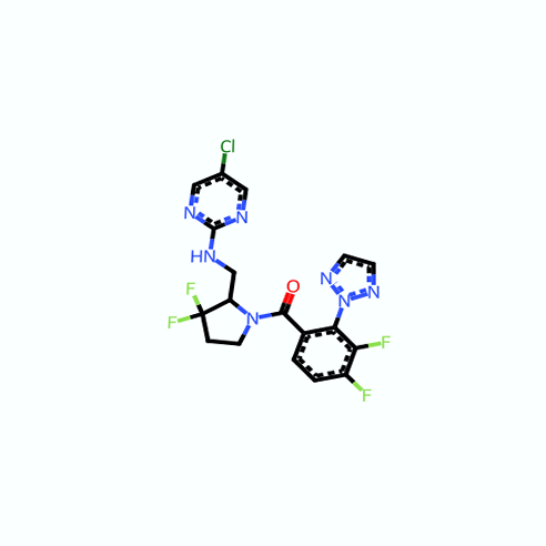 O=C(c1ccc(F)c(F)c1-n1nccn1)N1CCC(F)(F)C1CNc1ncc(Cl)cn1